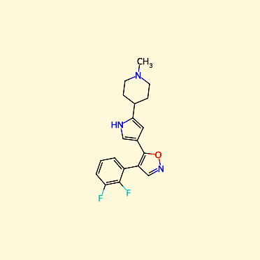 CN1CCC(c2cc(-c3oncc3-c3cccc(F)c3F)c[nH]2)CC1